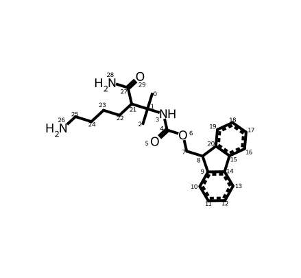 CC(C)(NC(=O)OCC1c2ccccc2-c2ccccc21)C(CCCCN)C(N)=O